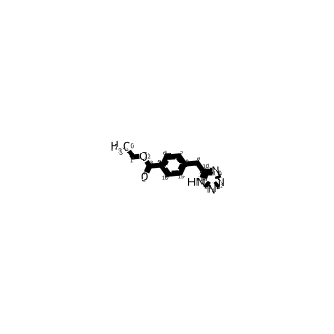 CCOC(=O)c1ccc(Cc2nnn[nH]2)cc1